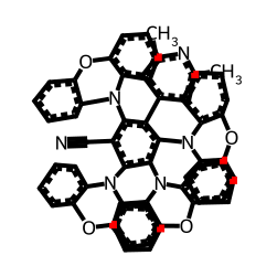 Cc1cc(-c2c(N3c4ccccc4Oc4ccccc43)c(C#N)c(N3c4ccccc4Oc4ccccc43)c(N3c4ccccc4Oc4ccccc43)c2N2c3ccccc3Oc3ccccc32)cc(C)n1